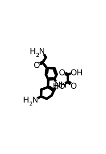 NCC(=O)c1ccc2[nH]c3c(c2c1)CC(N)CC3.O=C(O)C(=O)O